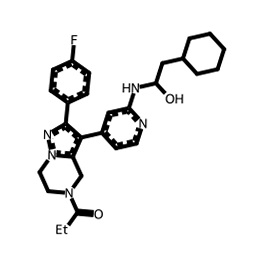 CCC(=O)N1CCn2nc(-c3ccc(F)cc3)c(-c3ccnc(NC(O)CC4CCCCC4)c3)c2C1